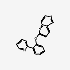 c1ccc(-c2ccccc2Oc2ccc3cnccc3n2)nc1